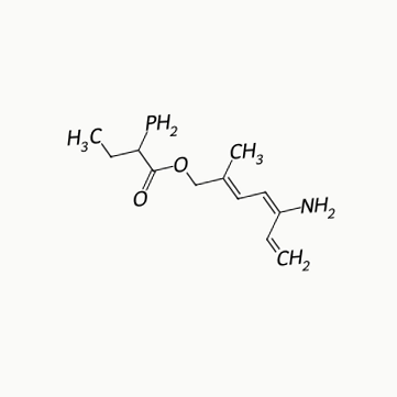 C=C/C(N)=C\C=C(/C)COC(=O)C(P)CC